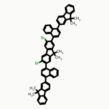 CC1(C)c2ccccc2-c2ccc(-c3ccc(-c4cc5c(cc4Br)-c4cc(Br)c(-c6ccc(-c7ccc8c(c7)C(C)(C)c7ccccc7-8)c7ccccc67)cc4C5(C)C)c4ccccc34)cc21